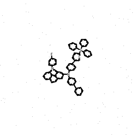 Fc1ccc(-n2c3cccc4ccc5cc(N(c6ccc(-c7ccccc7)cc6)c6ccc(-c7ccc([Si](c8ccccc8)(c8ccccc8)c8ccccc8)cc7)cc6)cc2c5c43)cc1